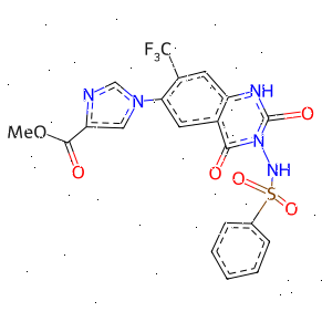 COC(=O)c1cn(-c2cc3c(=O)n(NS(=O)(=O)c4ccccc4)c(=O)[nH]c3cc2C(F)(F)F)cn1